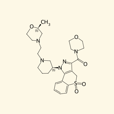 C[C@H]1CN(CCN2CCC[C@H](n3nc(C(=O)N4CCOCC4)c4c3-c3ccccc3S(=O)(=O)C4)C2)CCO1